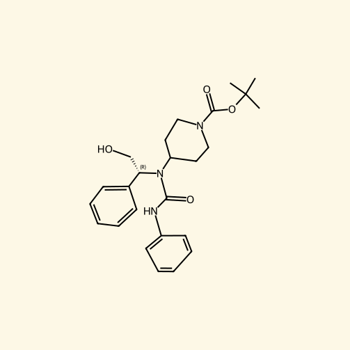 CC(C)(C)OC(=O)N1CCC(N(C(=O)Nc2ccccc2)[C@@H](CO)c2ccccc2)CC1